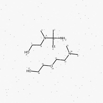 CCC(C)(N)N(C)CCO.CN(C)CCOCCO